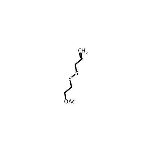 C=CCSSCCOC(C)=O